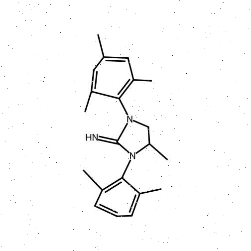 Cc1cc(C)c(N2CC(C)N(c3c(C)cccc3C)C2=N)c(C)c1